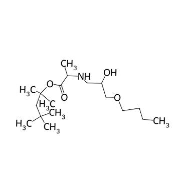 CCCCOCC(O)CNC(C)C(=O)OC(C)(C)CC(C)(C)C